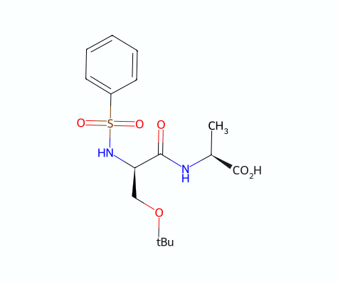 C[C@H](NC(=O)[C@@H](COC(C)(C)C)NS(=O)(=O)c1ccccc1)C(=O)O